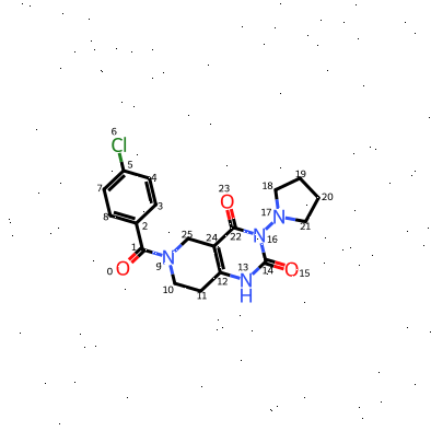 O=C(c1ccc(Cl)cc1)N1CCc2[nH]c(=O)n(N3CCCC3)c(=O)c2C1